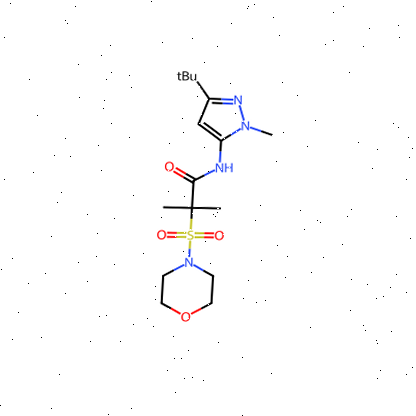 Cn1nc(C(C)(C)C)cc1NC(=O)C(C)(C)S(=O)(=O)N1CCOCC1